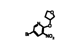 O=[N+]([O-])c1cc(Br)cnc1OC1CCOC1